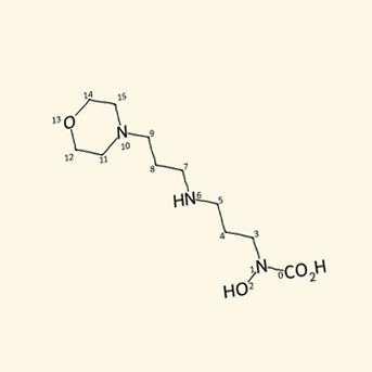 O=C(O)N(O)CCCNCCCN1CCOCC1